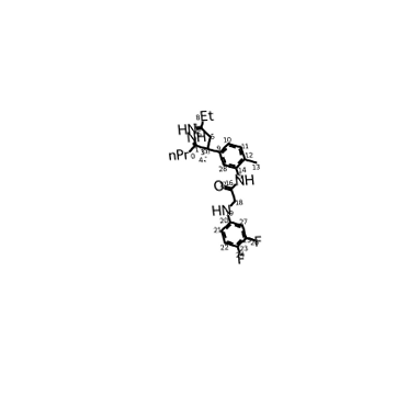 CCCC(=N)[C@@](C)(CC(=N)CC)c1ccc(C)c(NC(=O)CNc2ccc(F)c(F)c2)c1